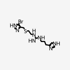 N=C(NCCCc1c[nH]cn1)NCCSCc1nc[nH]c1Br